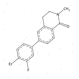 CCc1ccc(-c2ccc3c(c2)CCN(C)C3=O)cc1F